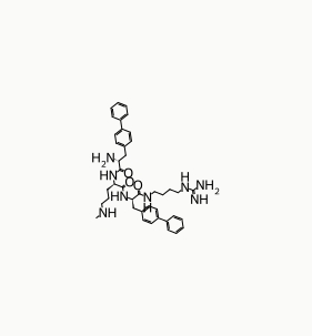 CNCCC[C@@H](NC(=O)[C@H](N)Cc1ccc(-c2ccccc2)cc1)C(=O)N[C@H](Cc1ccc(-c2ccccc2)cc1)C(=O)NCCCCNC(=N)N